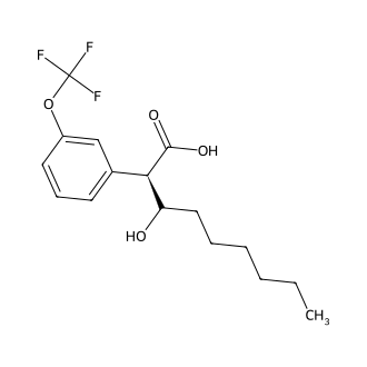 CCCCCCC(O)[C@H](C(=O)O)c1cccc(OC(F)(F)F)c1